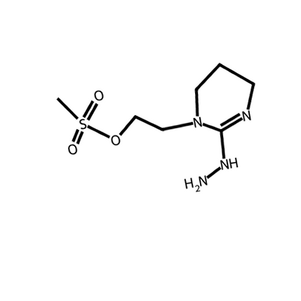 CS(=O)(=O)OCCN1CCCN=C1NN